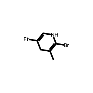 CCC1=CNC(Br)=C(C)C1